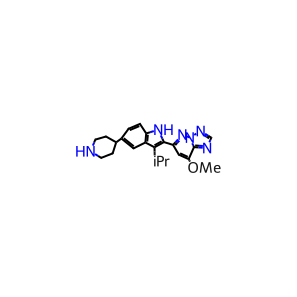 COc1cc(-c2[nH]c3ccc(C4CCNCC4)cc3c2C(C)C)nn2ncnc12